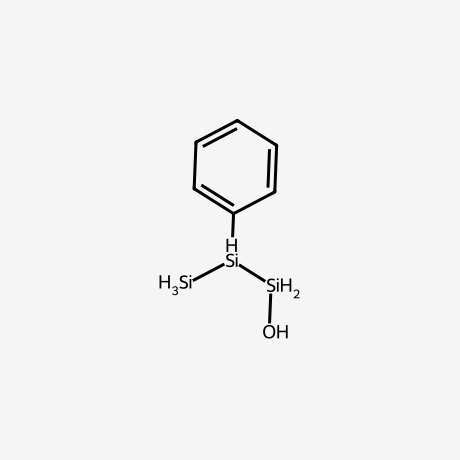 O[SiH2][SiH]([SiH3])c1ccccc1